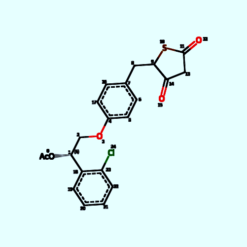 CC(=O)O[C@H](COc1ccc(CC2SC(=O)CC2=O)cc1)c1ccccc1Cl